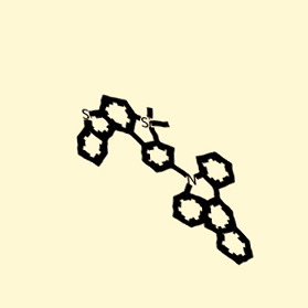 C[Si]1(C)c2cc(N(c3ccccc3)c3ccccc3-c3ccc4ccccc4c3)ccc2-c2c1ccc1sc3ccccc3c21